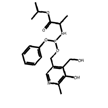 Cc1ncc(COP(NC(C)C(=O)OC(C)C)Oc2ccccc2)c(CO)c1O